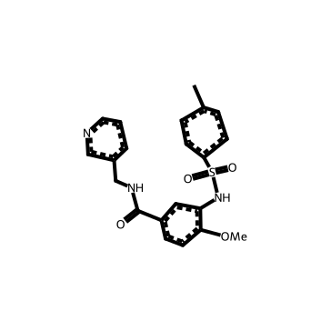 COc1ccc(C(=O)NCc2cccnc2)cc1NS(=O)(=O)c1ccc(C)cc1